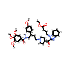 CCOC(=O)CCCn1c(C(=O)C2CCN(CCC(CN(C)C(=O)c3cc(OC)c(OC)c(OC)c3)c3ccc(OC)cc3)CC2)nc2ccccc21